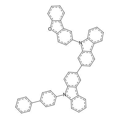 c1ccc(-c2ccc(-n3c4ccccc4c4cc(-c5ccc6c7ccccc7n(-c7ccc8oc9ccccc9c8c7)c6c5)ccc43)cc2)cc1